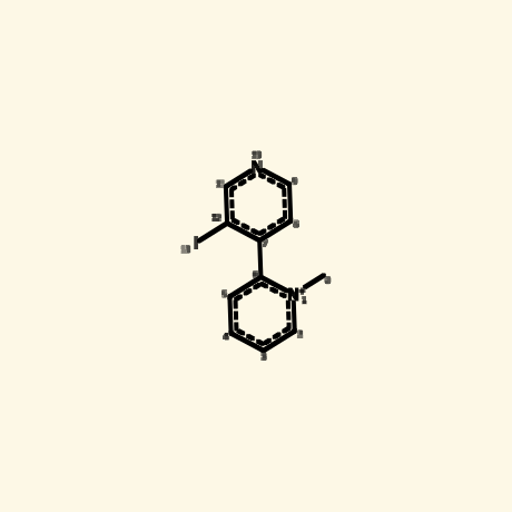 C[n+]1ccccc1-c1ccncc1I